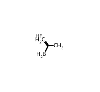 BC(=C)C.F